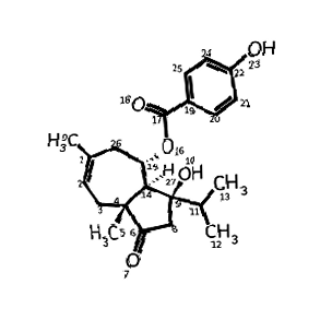 CC1=CC[C@@]2(C)C(=O)C[C@@](O)(C(C)C)[C@@H]2[C@@H](OC(=O)c2ccc(O)cc2)C1